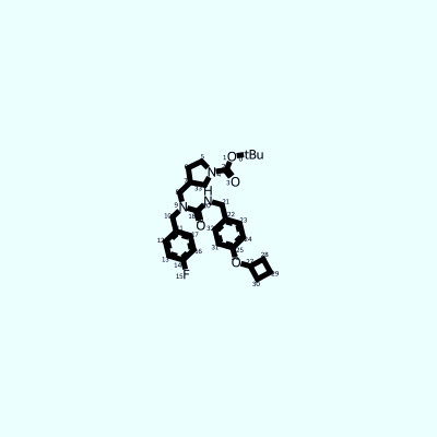 CC(C)(C)OC(=O)N1CCC(CN(Cc2ccc(F)cc2)C(=O)NCc2ccc(OC3CCC3)cc2)C1